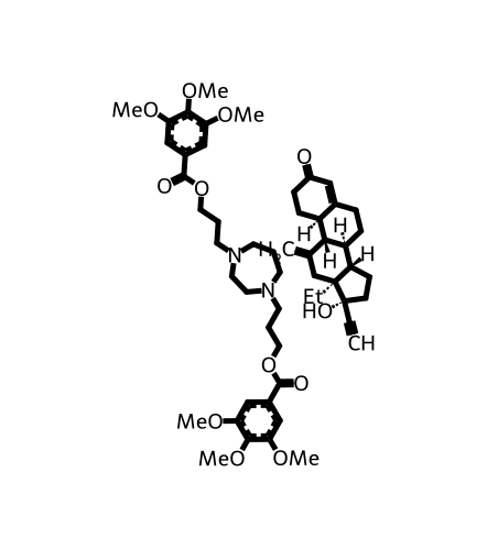 C#C[C@]1(O)CC[C@H]2[C@@H]3CCC4=CC(=O)CC[C@@H]4[C@H]3C(=C)C[C@@]21CC.COc1cc(C(=O)OCCCN2CCCN(CCCOC(=O)c3cc(OC)c(OC)c(OC)c3)CC2)cc(OC)c1OC